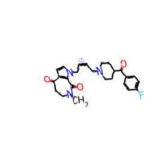 CN1CCC(=O)c2ccn(C/C=C\CN3CCC(C(=O)c4ccc(F)cc4)CC3)c2C1=O